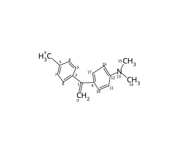 C=C(c1ccc(C)cc1)c1ccc(N(C)C)cc1